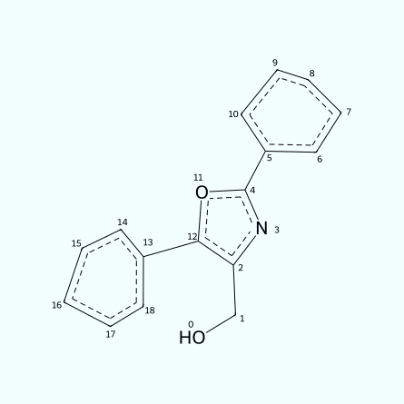 OCc1nc(-c2ccccc2)oc1-c1ccccc1